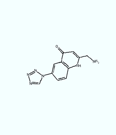 NCc1cc(=O)c2cc(-n3cnnn3)ccc2[nH]1